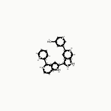 Oc1cncc(-c2cc3c(-c4cc5c(-c6ccccn6)nccc5[nH]4)n[nH]c3cn2)c1